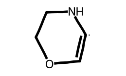 [C]1=COCCN1